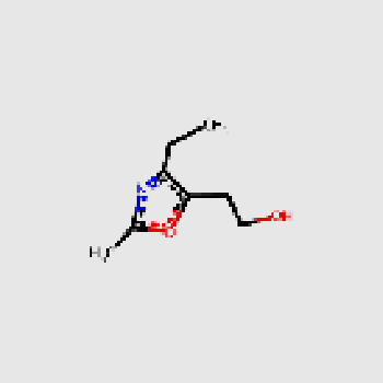 CCc1nc(C)oc1CCO